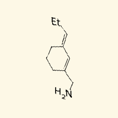 CC/C=C1/C=C(CN)CCC1